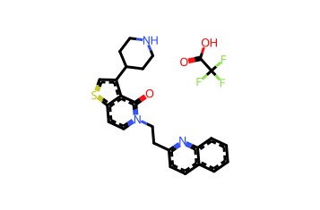 O=C(O)C(F)(F)F.O=c1c2c(C3CCNCC3)csc2ccn1CCc1ccc2ccccc2n1